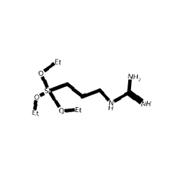 CCO[Si](CCCNC(=N)N)(OCC)OCC